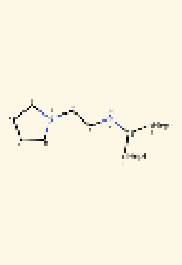 CCCCCCCC(CCCCCCC)NCCN1CCCC1